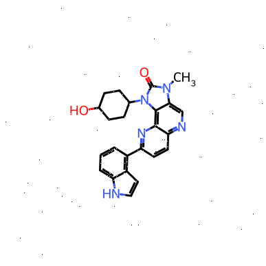 Cn1c(=O)n(C2CCC(O)CC2)c2c3nc(-c4cccc5[nH]ccc45)ccc3ncc21